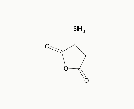 O=C1CC([SiH3])C(=O)O1